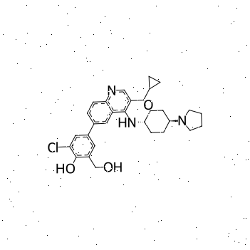 O=C(c1cnc2ccc(-c3cc(Cl)c(O)c(CO)c3)cc2c1N[C@H]1CC[C@H](N2CCCC2)CC1)C1CC1